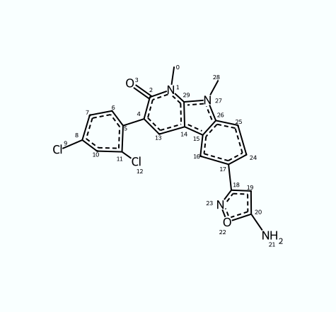 Cn1c(=O)c(-c2ccc(Cl)cc2Cl)cc2c3cc(-c4cc(N)on4)ccc3n(C)c21